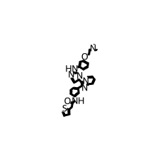 CN(C)CCOc1cccc(Nc2nccc(-c3c(-c4cccc(NC(=O)Cc5cccs5)c4)nc4ccccn34)n2)c1